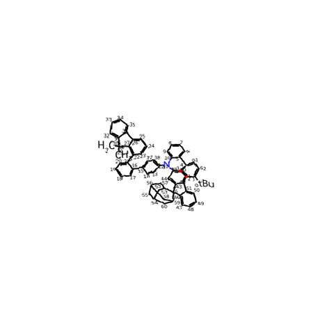 CC(C)(C)c1ccc(-c2ccccc2N(c2ccc(-c3ccccc3-c3cccc4c3C(C)(C)c3ccccc3-4)cc2)c2ccc3c(c2)C2(c4ccccc4-3)C3CC4CC(C3)CC2C4)cc1